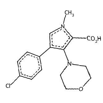 Cn1cc(-c2ccc(Cl)cc2)c(N2CCOCC2)c1C(=O)O